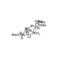 COCC(=O)NN1CCC(Oc2ccccc2CCN(C)CCCC(C#N)(c2cc(OC)c(OC)c(OC)c2)C(C)C)(C(C)O[N+](=O)[O-])CC1